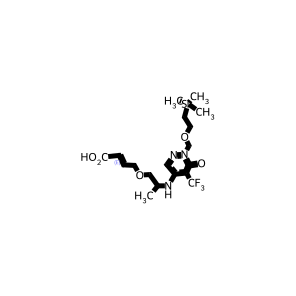 CC(COC/C=C/C(=O)O)Nc1cnn(COCC[Si](C)(C)C)c(=O)c1C(F)(F)F